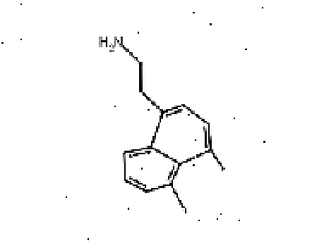 Cc1cccc2c(CCN)ccc(C)c12